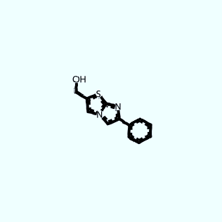 OCc1cn2cc(-c3ccccc3)nc2s1